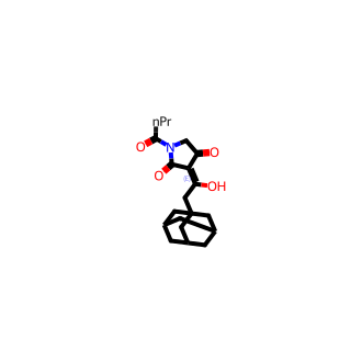 CCCC(=O)N1CC(=O)/C(=C(\O)CC23CC4CC(CC(C4)C2)C3)C1=O